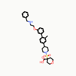 Cc1cc(C2CCN(S(=O)(=O)C3(C(=O)O)CCOCC3)CC2)ccc1-c1cccc(OCCNCc2ccccc2)c1